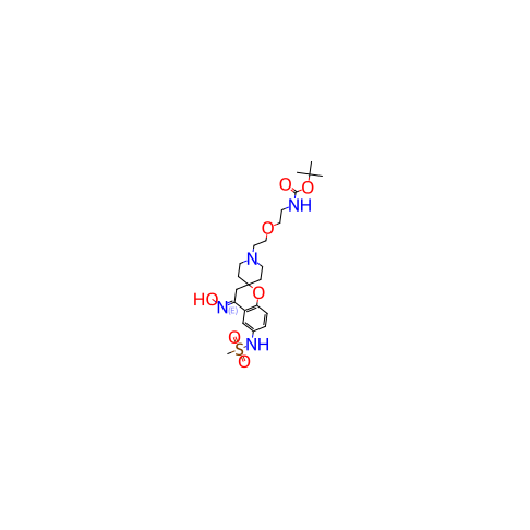 CC(C)(C)OC(=O)NCCOCCN1CCC2(CC1)C/C(=N\O)c1cc(NS(C)(=O)=O)ccc1O2